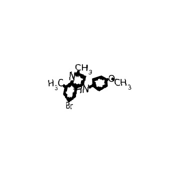 COc1ccc(Nc2cc(C)nc3c(C)cc(Br)cc23)cc1